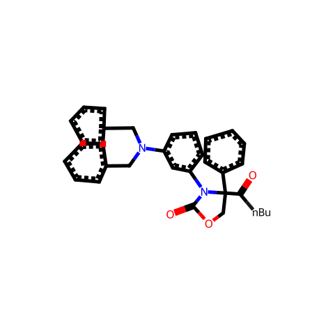 CCCCC(=O)C1(c2ccccc2)COC(=O)N1c1cccc(N(Cc2ccccc2)Cc2ccccc2)c1